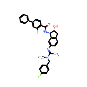 C/C(=N\c1ccc2c(c1)[C@@H](NC(=O)c1ccc(-c3ccccc3)cc1F)[C@H](O)C2)N(C)Cc1ccc(F)cc1